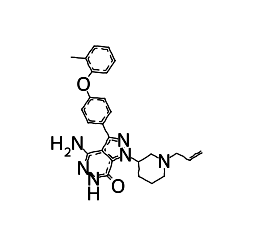 C=CCN1CCCC(n2nc(-c3ccc(Oc4ccccc4C)cc3)c3c(N)n[nH]c(=O)c32)C1